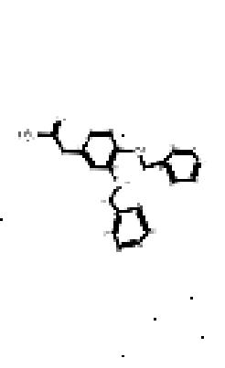 CC(=O)Cc1ccc(OCc2ccccc2)c(OCc2ccccc2)c1